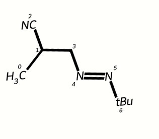 CC(C#N)CN=NC(C)(C)C